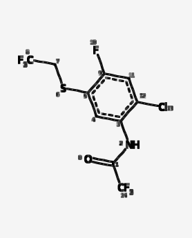 O=C(Nc1cc(SCC(F)(F)F)c(F)cc1Cl)C(F)(F)F